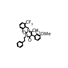 COc1cccc(-c2c(C)n(Cc3c(F)cccc3C(F)(F)F)c(=O)n(CCc3ccccc3)c2=O)c1F